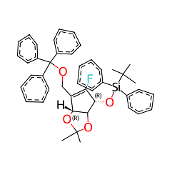 CC1(C)OC2[C@H](O1)C(COC(c1ccccc1)(c1ccccc1)c1ccccc1)=C(F)[C@@H]2O[Si](c1ccccc1)(c1ccccc1)C(C)(C)C